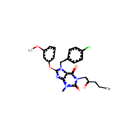 Cn1c(=O)n(CC(=O)CCC#N)c(=O)c2c1nc(Oc1cccc(OC(F)(F)F)c1)n2Cc1ccc(Cl)cc1